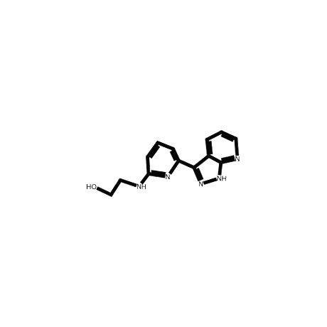 OCCNc1cccc(-c2n[nH]c3ncccc23)n1